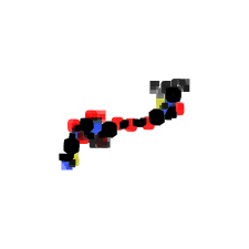 Cc1ncsc1-c1ccc(CNC(=O)[C@@H]2C[C@@H](O)CC2C(=O)C(NC(=O)c2ccc(OCCOCCCOc3ccc(N4C(=S)N(c5ccc(C#N)c(C(F)(F)F)c5)C(=O)C4(C)C)cc3)cc2)C(C)(C)C)cc1